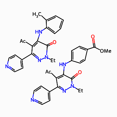 CCn1nc(-c2ccncc2)c(C(C)=O)c(Nc2ccc(C(=O)OC)cc2)c1=O.CCn1nc(-c2ccncc2)c(C(C)=O)c(Nc2ccccc2C)c1=O